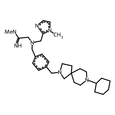 CNC(=N)CN(Cc1ccc(CN2CCC3(CCN(C4CCCCC4)CC3)C2)cc1)Cc1nccn1C